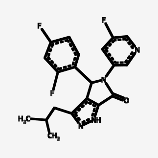 CC(C)Cc1n[nH]c2c1C(c1ccc(F)cc1F)N(c1cncc(F)c1)C2=O